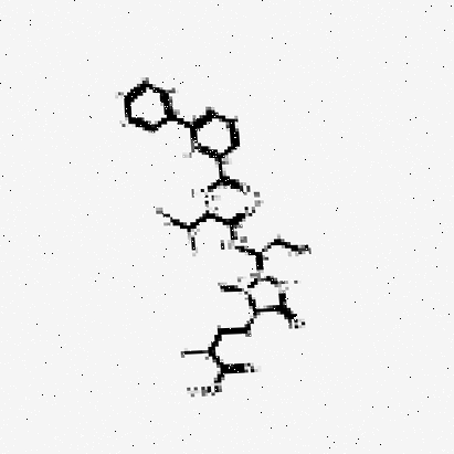 COC(=O)[C@@H](C)CC[C@@H]1C(=O)OB([C@H](CC(C)C)NC(=O)[C@@H](NC(=O)c2cccc(-c3ccccc3)n2)[C@@H](C)O)N1C